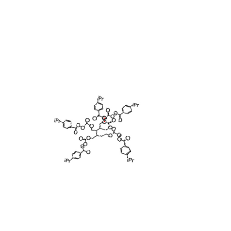 CC(C)c1ccc(C(=O)OOC(=O)OCCC(COC(=O)OOC(=O)c2ccc(C(C)C)cc2)C(COC(=O)OOC(=O)c2ccc(C(C)C)cc2)C(CCOC(=O)OOC(=O)c2ccc(C(C)C)cc2)COC(=O)OOC(=O)c2ccc(C(C)C)cc2)cc1